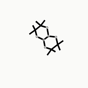 CC1(C)OB2OC(C)(C)C(C)(C)OB2OC1(C)C